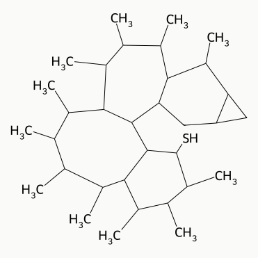 CC1C(C)C(C)C2C(C)C(C)C(C)C3C(C)C4CC4CC3C2C2C(S)C(C)C(C)C(C)C2C1C